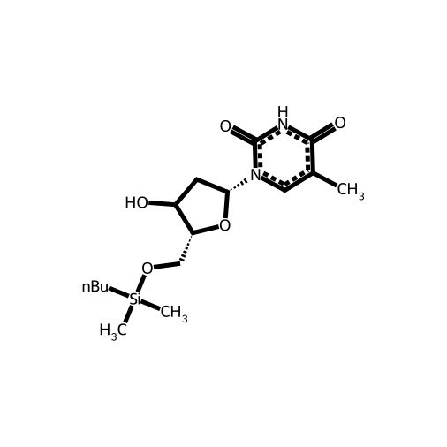 CCCC[Si](C)(C)OC[C@H]1O[C@@H](n2cc(C)c(=O)[nH]c2=O)CC1O